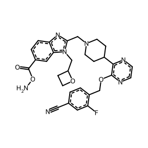 N#Cc1ccc(COc2nccnc2C2CCN(Cc3nc4ccc(C(=O)ON)cc4n3CC3CCO3)CC2)c(F)c1